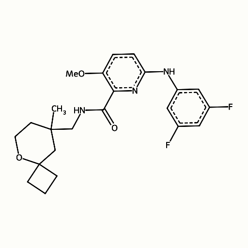 COc1ccc(Nc2cc(F)cc(F)c2)nc1C(=O)NCC1(C)CCOC2(CCC2)C1